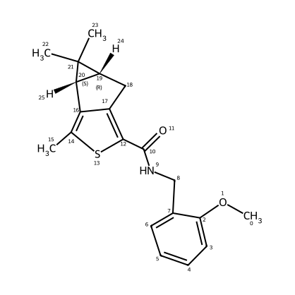 COc1ccccc1CNC(=O)c1sc(C)c2c1C[C@@H]1[C@H]2C1(C)C